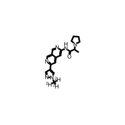 [2H]C([2H])([2H])n1cc(-c2cc3cc(NC(=O)C(C)N4CCCC4)ncc3cn2)cn1